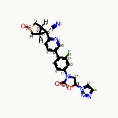 N#C[C@]1(c2ccc(-c3ccc(N4CC(n5ccnn5)OC4=O)cc3F)cn2)[C@@H]2C[S+]([O-])C[C@@H]21